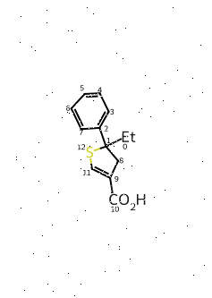 CCC1(c2ccccc2)CC(C(=O)O)=CS1